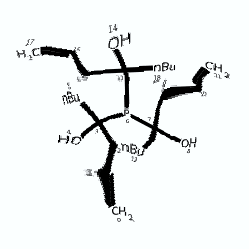 C=CCC(O)(CCCC)P(C(O)(CC=C)CCCC)C(O)(CC=C)CCCC